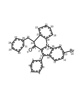 O=C1c2c(-c3ccccc3)c3ccc(Br)cc3n2-c2ccccc2C1Cc1ccccc1